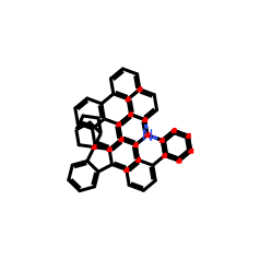 c1ccc(-c2ccccc2-c2ccccc2-c2ccccc2N(c2ccc3c(c2)C2(CC4CCC2C4)c2ccccc2-3)c2ccccc2-c2cccc3cccc(-c4ccccc4)c23)cc1